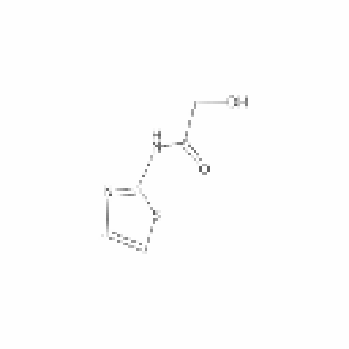 O=C(CO)Nc1n[c]cs1